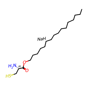 CCCCCCCCCCCCCCCCOC(=O)[C@@H](N)CS.[NaH]